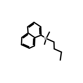 CCCC[Si](C)(C)c1cccc2ccccc12